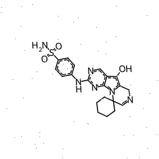 NS(=O)(=O)c1ccc(Nc2ncc3c(O)c4n(c3n2)C2(C=NC4)CCCCC2)cc1